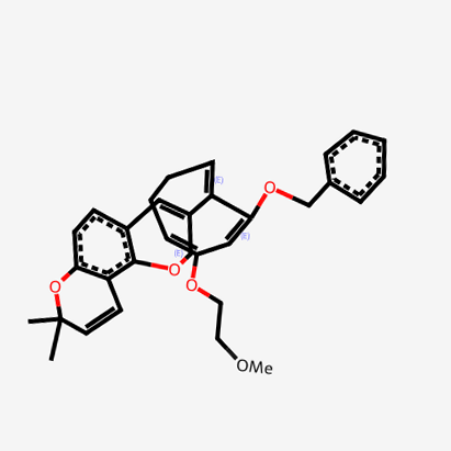 COCCOC1=C/CC/C=C(C2=Cc3ccc4c(c3OC2)C=CC(C)(C)O4)/C(OCc2ccccc2)=C\1